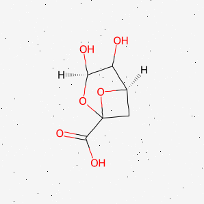 O=C(O)C12C[C@@H](O1)C(O)[C@H](O)O2